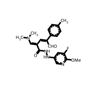 COc1ncc(NNC(=O)C(/C=C(\C=O)c2ccc(C)cc2)=C/N(C)C)cc1F